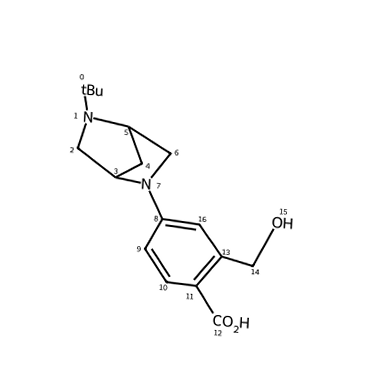 CC(C)(C)N1CC2CC1CN2c1ccc(C(=O)O)c(CO)c1